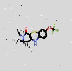 CCN1C(=O)C2=C(CC1(C)C)Nc1ccc(OC(F)(F)F)cc1S2